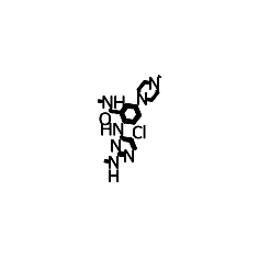 CNC(=O)c1cc(N2CCN(C)CC2)ccc1Nc1nc(NC)ncc1Cl